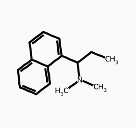 CCC(c1cccc2ccccc12)N(C)C